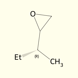 CC[C@@H](C)C1CO1